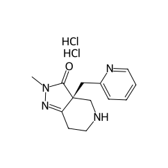 CN1N=C2CCNC[C@@]2(Cc2ccccn2)C1=O.Cl.Cl